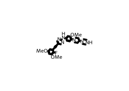 COc1cc(C#Cc2cnc(Nc3ccc(N4CCC(N5CCNCC5)CC4)c(OC)c3)nc2)c(F)c(OC)c1